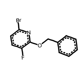 Fc1ccc(Br)nc1OCc1ccccc1